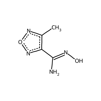 Cc1nonc1C(N)=NO